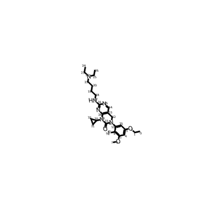 CCOc1cc(OC)c(F)c(N2Cc3cnc(NCCCCN(CC)CC)nc3N(C3CC3)C2=O)c1